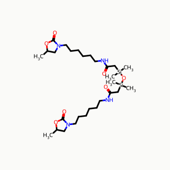 CC1CN(CCCCCCNC(=O)C[Si](C)(C)O[Si](C)(C)CC(=O)NCCCCCCN2CC(C)OC2=O)C(=O)O1